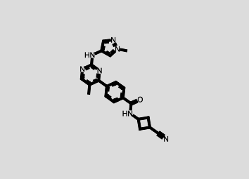 Cc1cnc(Nc2cnn(C)c2)nc1-c1ccc(C(=O)NC2CC(C#N)C2)cc1